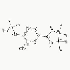 [2H]C(C)(C)Oc1ncc(B2OC(C)(C)C(C)(C)O2)cc1Cl